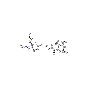 CO/C=C/C1=C(/C=C/OC)CN(CCCCNC(=O)c2cc(Br)cc(OC)c2OC)CC1